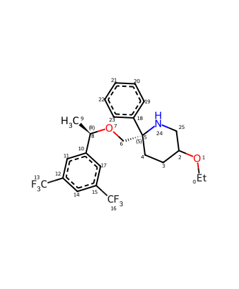 CCOC1CC[C@@](CO[C@H](C)c2cc(C(F)(F)F)cc(C(F)(F)F)c2)(c2ccccc2)NC1